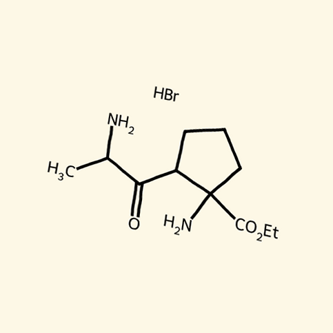 Br.CCOC(=O)C1(N)CCCC1C(=O)C(C)N